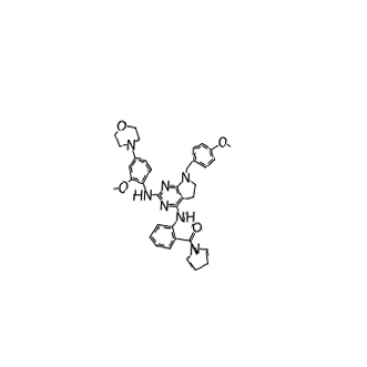 COc1ccc(CN2CCc3c(Nc4ccccc4C(=O)N4CCCC4)nc(Nc4ccc(N5CCOCC5)cc4OC)nc32)cc1